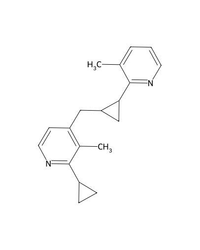 Cc1cccnc1C1CC1Cc1ccnc(C2CC2)c1C